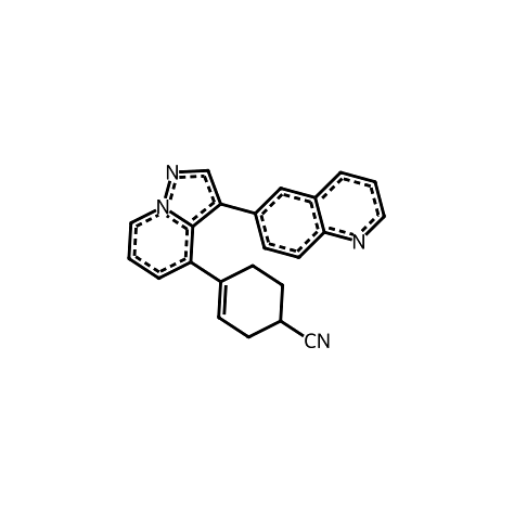 N#CC1CC=C(c2cccn3ncc(-c4ccc5ncccc5c4)c23)CC1